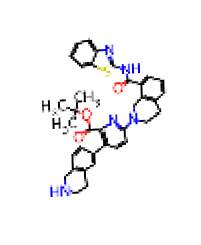 CC(C)(C)OC(=O)c1nc(N2CCc3cccc(C(=O)Nc4nc5ccccc5s4)c3C2)ccc1-c1ccc2c(c1)CCNC2